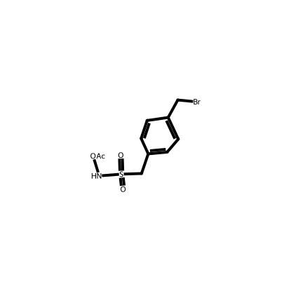 CC(=O)ONS(=O)(=O)Cc1ccc(CBr)cc1